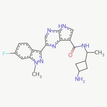 CC(NC(=O)c1c[nH]c2ncc(-c3nn(C)c4cc(F)ccc34)nc12)C1CC(N)C1